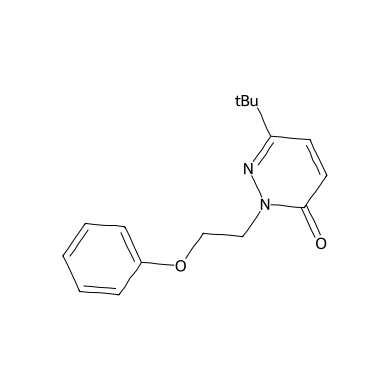 CC(C)(C)c1ccc(=O)n(CCOc2ccccc2)n1